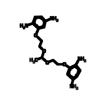 CC(OCCOc1cc(N)ccc1N)OCCOc1cc(N)ccc1N